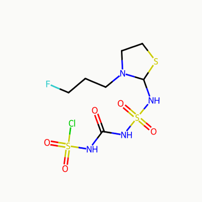 O=C(NS(=O)(=O)Cl)NS(=O)(=O)NC1SCCN1CCCF